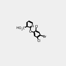 O=C(O)c1cccnc1Oc1cc(Cl)c(Br)cc1Cl